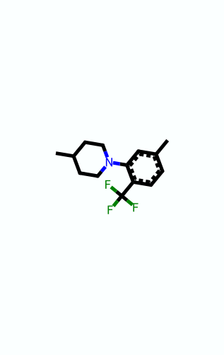 Cc1ccc(C(F)(F)F)c(N2CCC(C)CC2)c1